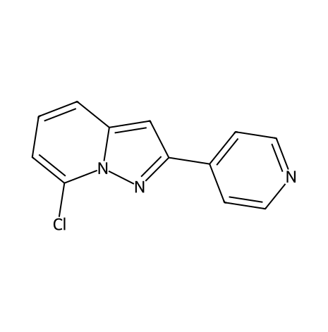 Clc1cccc2cc(-c3ccncc3)nn12